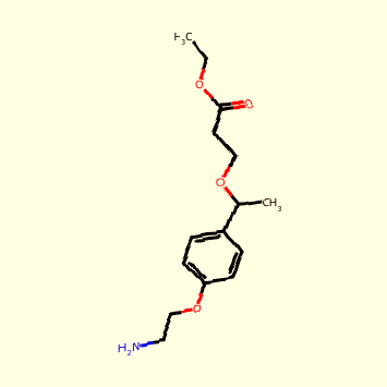 CCOC(=O)CCOC(C)c1ccc(OCCN)cc1